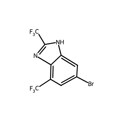 FC(F)(F)c1nc2c(C(F)(F)F)cc(Br)cc2[nH]1